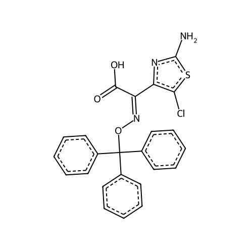 Nc1nc(/C(=N/OC(c2ccccc2)(c2ccccc2)c2ccccc2)C(=O)O)c(Cl)s1